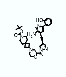 C[C@H]([C@@H]1CN(C2CC3(CCN(C(=O)OC(C)(C)C)CC3)C2)CCO1)n1cc(C#Cc2cc(-c3ccccc3O)nnc2N)cn1